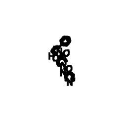 O=C1N2[C@@H](CC[C@H]2c2ccccc2)OC12CCN(c1nc3cnccc3o1)CC2